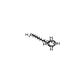 C1CNCCNCCNCCN1.CCCCCCCCCCCCCC